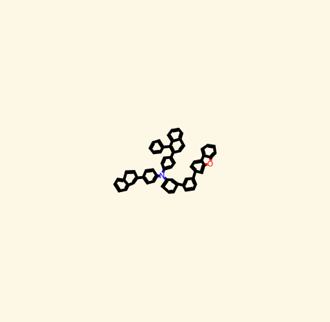 c1ccc(-c2c(-c3ccc(N(c4ccc(-c5ccc6ccccc6c5)cc4)c4cccc(-c5cccc(-c6ccc7c(c6)oc6ccccc67)c5)c4)cc3)ccc3ccccc23)cc1